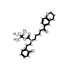 CC(C)(C)OC(=O)N(CCCCC(=O)c1ccc2c(c1)CCCO2)CCc1ccccc1Cl